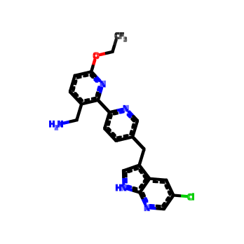 NCc1ccc(OCC(F)(F)F)nc1-c1ccc(Cc2c[nH]c3ncc(Cl)cc23)cn1